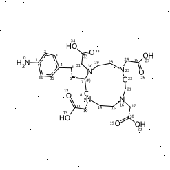 Nc1ccc(CC[C@@H]2CN(CC(=O)O)CCN(CC(=O)O)CCN(CC(=O)O)CCN2CC(=O)O)cc1